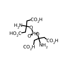 NC(CC(=O)O)(CC(=O)O)O[PH](=O)OC(N)(CC(=O)O)CC(=O)O